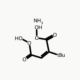 CC(C)(C)/C(=C/C(=O)OO)C(=O)OO.N